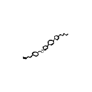 C=CCCC1CCC(COc2ccc(C3C=CC(C4CCC(CCCCC)CC4)CC3)cc2)CC1